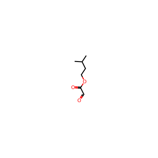 CC(C)CCOC(=O)C=O